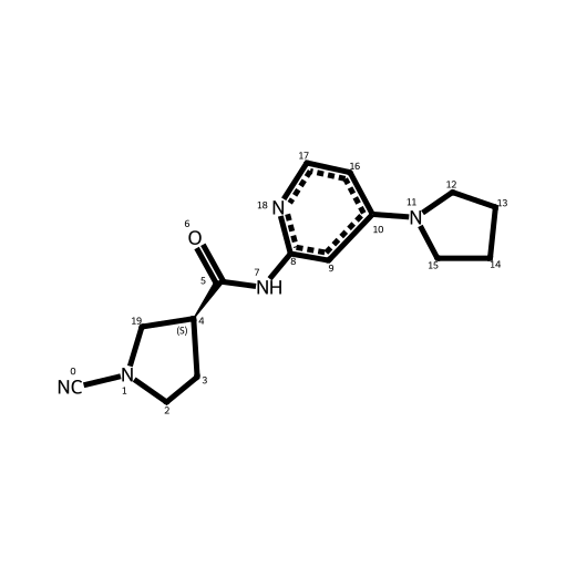 N#CN1CC[C@H](C(=O)Nc2cc(N3CCCC3)ccn2)C1